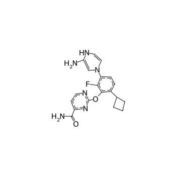 NC(=O)c1ccnc(Oc2c(C3CCC3)ccc(N3C=CNC(N)=C3)c2F)n1